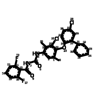 Cc1cc(NC(=O)NC(=O)c2c(F)cccc2F)c(C)c(Cl)c1Oc1ccc(Cl)cc1-c1ccccc1